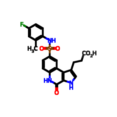 Cc1cc(F)ccc1NS(=O)(=O)c1ccc2[nH]c(=O)c3[nH]cc(CCC(=O)O)c3c2c1